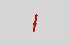 CCCCCCCCC=CCCCCCCCCCC(=O)OCCCCCCCCCCCCCCCCCCCCCCC(C)C